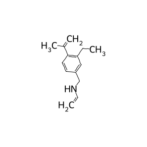 C=CNCc1ccc(C(=C)C)c(CC)c1